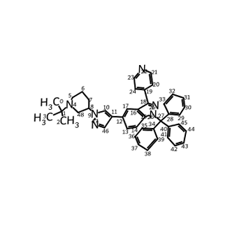 CC(C)(C)N1CCCC(n2cc(-c3ccc4c(c3)c(-c3ccncc3)nn4C(c3ccccc3)(c3ccccc3)c3ccccc3)cn2)C1